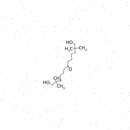 CC(C)(CO)CCCCC(=O)CCCCC(C)(C)CO